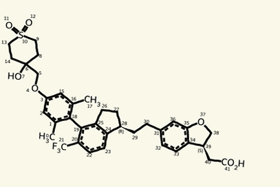 Cc1cc(OCC2(O)CCS(=O)(=O)CC2)cc(C)c1-c1c(C(F)(F)F)ccc2c1CC[C@H]2CCc1ccc2c(c1)OC[C@H]2CC(=O)O